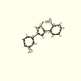 Cn1nc(-c2cccc(Cl)c2)cc1-c1ccccc1O